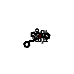 CCOC(=O)[C@H](CCC1CCCCC1)N1CCC[C@@]1(C(=O)OCc1ccccc1)C(=O)[C@H](C)N